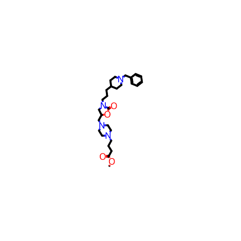 COC(=O)CCCN1CCN(CC2CN(CCCC3CCN(Cc4ccccc4)CC3)C(=O)O2)CC1